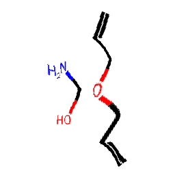 C=CCOCC=C.NCO